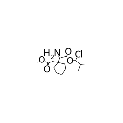 COC(=O)CC1(C(N)C(=O)OC(Cl)C(C)C)CCCCC1